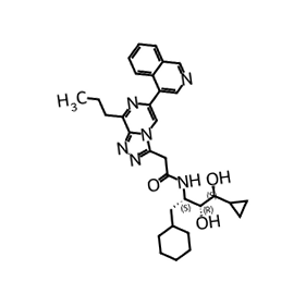 CCCc1nc(-c2cncc3ccccc23)cn2c(CC(=O)N[C@@H](CC3CCCCC3)[C@@H](O)[C@@H](O)C3CC3)nnc12